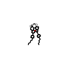 CCCCCc1ccc(-c2ccc3c(c2)=CC[C@@H]2OCCOc4ccc5cc(-c6ccc(CCCCC)cc6)ccc5c4C=32)cc1